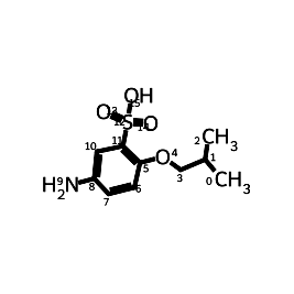 CC(C)COc1ccc(N)cc1S(=O)(=O)O